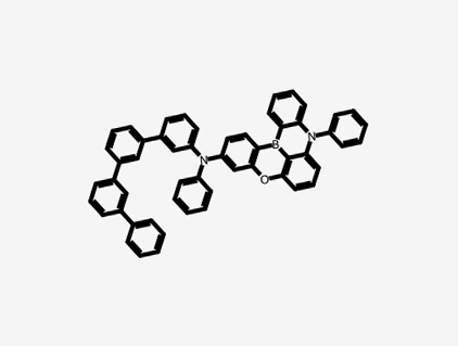 c1ccc(-c2cccc(-c3cccc(-c4cccc(N(c5ccccc5)c5ccc6c(c5)Oc5cccc7c5B6c5ccccc5N7c5ccccc5)c4)c3)c2)cc1